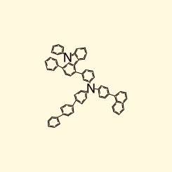 c1ccc(-c2ccc(-c3ccc(N(c4ccc(-c5cccc6ccccc56)cc4)c4cccc(-c5ccc(-c6ccccc6)c6c5c5ccccc5n6-c5ccccc5)c4)cc3)cc2)cc1